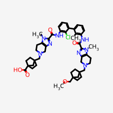 COCC12CCC(CN3CCc4c(nc(C(=O)Nc5cccc(-c6cccc(NC(=O)c7nc8c(n7C)CCN(CC79CCC(C(=O)O)(CC7)C9)C8)c6Cl)c5C)n4C)C3)(CC1)C2